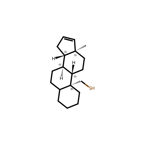 C[C@@]12C=CC[C@H]1[C@@H]1CCC3CCCC[C@]3(CS)[C@H]1CC2